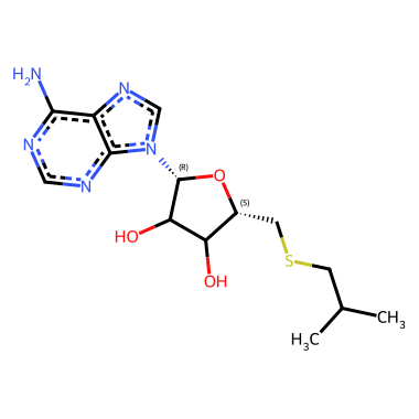 CC(C)CSC[C@H]1O[C@@H](n2cnc3c(N)ncnc32)C(O)C1O